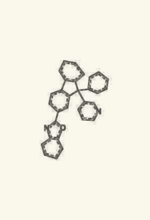 c1ccc(C2(c3cccnc3)c3ccccc3-c3ccc(-c4nc5ccccc5o4)cc32)cc1